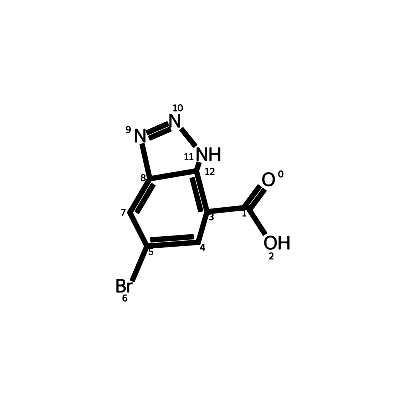 O=C(O)c1cc(Br)cc2nn[nH]c12